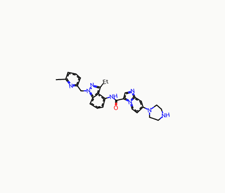 CCc1nn(Cc2cccc(C)n2)c2cccc(NC(=O)c3cnc4cc(N5CCNCC5)ccn34)c12